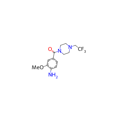 COc1cc(C(=O)N2CCN(CC(F)(F)F)CC2)ccc1N